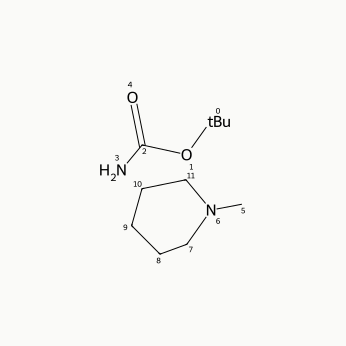 CC(C)(C)OC(N)=O.CN1CCCCC1